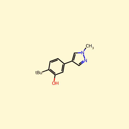 Cn1cc(-c2ccc(C(C)(C)C)c(O)c2)cn1